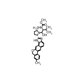 COC(=O)N[C@@H](C(C)C)C(O)N1[C@@H](C)CC[C@H]1c1nc2ccc3cc4c(cc3c2[nH]1)OCc1cc(C)ccc1-4